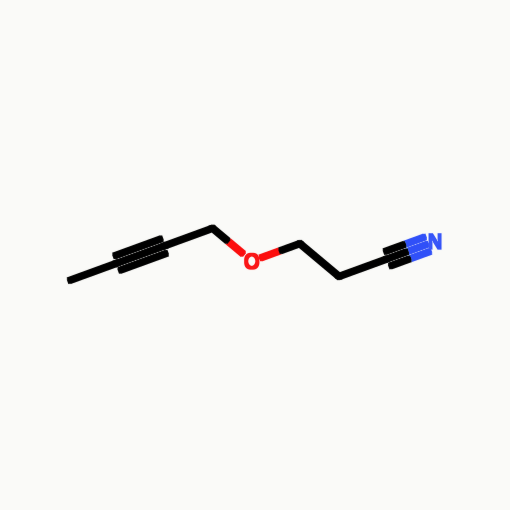 CC#CCOCCC#N